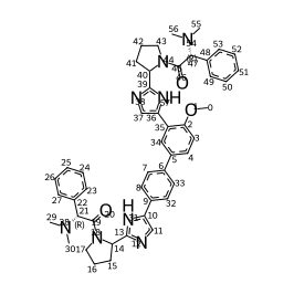 COc1ccc(-c2ccc(-c3cnc(C4CCCN4C(=O)[C@@H](c4ccccc4)N(C)C)[nH]3)cc2)cc1-c1cnc(C2CCCN2C(=O)[C@@H](c2ccccc2)N(C)C)[nH]1